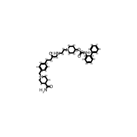 NC(=O)C1CCN(Cc2ccc(CCC(=O)CNCCN3CCC(OC(=O)Nc4ccccc4-c4ccccc4)CC3)cc2)CC1